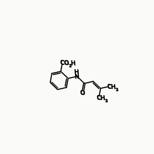 CC(C)=CC(=O)Nc1ccccc1C(=O)O